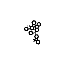 CC1(C)C2=CC(N(C3=CCC4C(=C3)C3(C5=C4C=CCC5)c4ccc5c(oc6ccccc65)c4C4C=CC=CC43)C3=CC=CCC3)CC=C2C2=C1CCC=C2